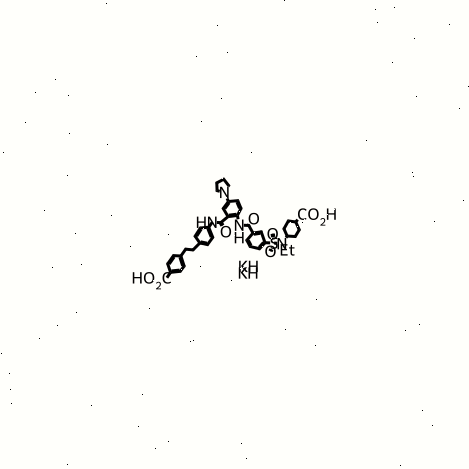 CCN(C1CCC(C(=O)O)CC1)S(=O)(=O)c1cccc(C(=O)Nc2ccc(N3CCCC3)cc2C(=O)Nc2ccc(CCc3ccc(C(=O)O)cc3)cc2)c1.[KH].[KH]